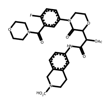 CC(=O)OC(C(=O)Nc1ccc2c(c1)CCN(C(=O)O)C2)C1OCCN(c2ccc(F)c(C(=O)N3CCOCC3)c2)C1=O